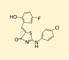 O=C1N=C(Nc2ccc(Cl)cc2)S/C1=C\c1cc(F)ccc1O